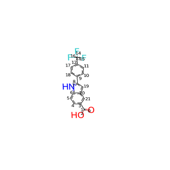 O=C(O)c1ccc2[nH]c(-c3ccc(C(F)(F)F)cc3)cc2c1